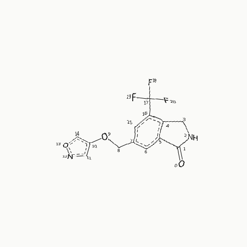 O=C1NCc2c1cc(COc1cnoc1)cc2C(F)(F)F